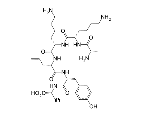 C=CC[C@H](NC(=O)[C@H](CCCCN)NC(=O)[C@H](CCCCN)NC(=O)[C@H](C)N)C(=O)N[C@@H](Cc1ccc(O)cc1)C(=O)N[C@H](C(=O)O)C(C)C